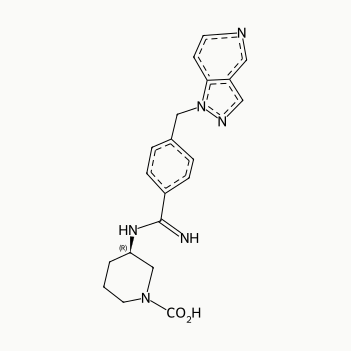 N=C(N[C@@H]1CCCN(C(=O)O)C1)c1ccc(Cn2ncc3cnccc32)cc1